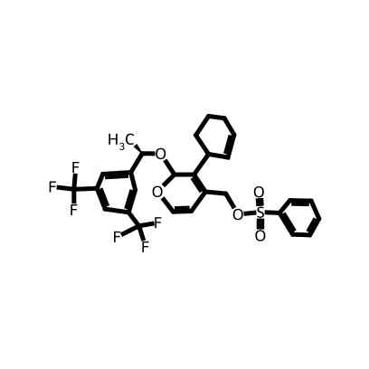 C[C@@H](OC1OC=CC(COS(=O)(=O)c2ccccc2)=C1C1C=CCCC1)c1cc(C(F)(F)F)cc(C(F)(F)F)c1